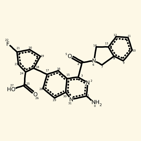 Nc1nc(C(=O)N2Cc3ccccc3C2)c2cc(-c3ccc(F)cc3C(=O)O)ccc2n1